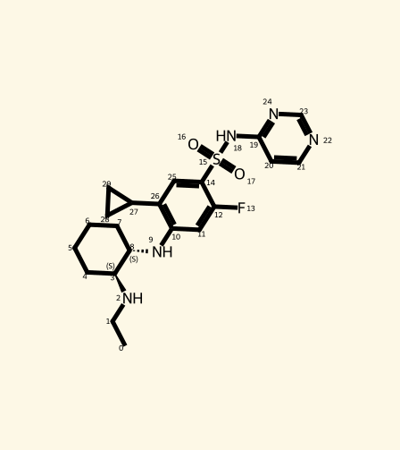 CCN[C@H]1CCCC[C@@H]1Nc1cc(F)c(S(=O)(=O)Nc2ccncn2)cc1C1CC1